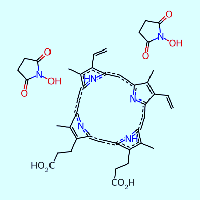 C=CC1=C(C)c2cc3[nH]c(cc4nc(cc5[nH]c(cc1n2)c(C)c5CCC(=O)O)C(CCC(=O)O)=C4C)c(C)c3C=C.O=C1CCC(=O)N1O.O=C1CCC(=O)N1O